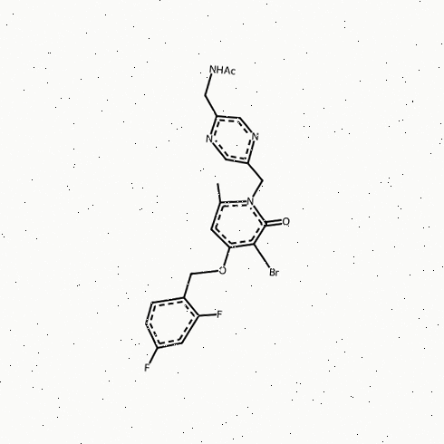 CC(=O)NCc1cnc(Cn2c(C)cc(OCc3ccc(F)cc3F)c(Br)c2=O)cn1